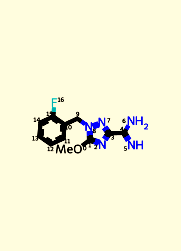 COc1nc(C(=N)N)nn1Cc1ccccc1F